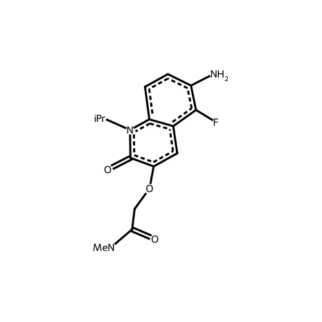 CNC(=O)COc1cc2c(F)c(N)ccc2n(C(C)C)c1=O